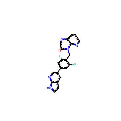 O=c1cnc2cccnc2n1Cc1c(F)cc(-c2cnc3[nH]ccc3c2)cc1F